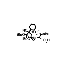 CC(C)COC(=O)CC(C#N)(C(=O)OCC(C)C)C1CCCCC1.CCCCC(C(=O)O)C(CCCC)C(=O)O